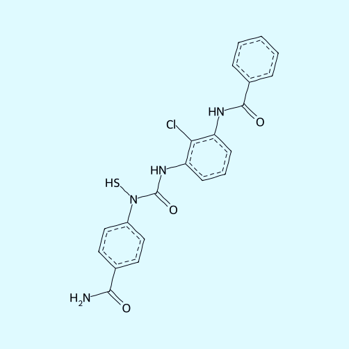 NC(=O)c1ccc(N(S)C(=O)Nc2cccc(NC(=O)c3ccccc3)c2Cl)cc1